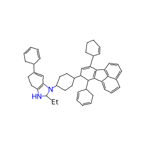 CCC1NC2=C(C=C(C3C=CC=CC3)CC2)N1C1CCC(C2C=C(C3C=CCCC3)C3=C(c4cccc5cccc3c45)C2C2C=CC=CC2)CC1